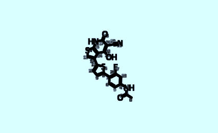 CC(=O)Nc1ccc(-c2ccc(-c3csc4[nH]c(=O)c(C#N)c(O)c34)s2)c(F)c1